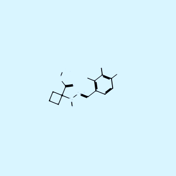 COC(=O)C1(N(C)/N=C/c2ccc(C)c(I)c2F)CCC1